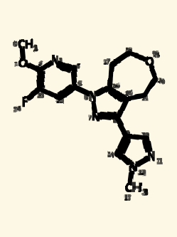 COc1ncc(-n2nc(-c3cnn(C)c3)c3c2CCOCC3)cc1F